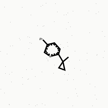 CC(C)c1ccc(C2(C)CC2)nc1